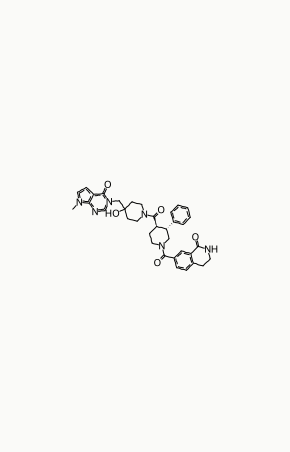 Cn1ccc2c(=O)n(CC3(O)CCN(C(=O)[C@@H]4CCN(C(=O)c5ccc6c(c5)C(=O)NCC6)C[C@H]4c4ccccc4)CC3)cnc21